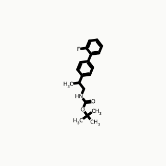 CC(CNC(=O)OC(C)(C)C)c1ccc(-c2ccccc2F)cc1